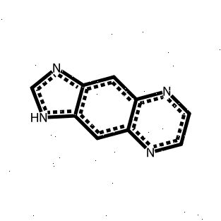 c1cnc2cc3[nH]cnc3cc2n1